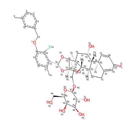 Cc1cccc(COc2ccc(C)c([C@H]3O[C@@H]4C[C@H]5[C@@H]6CCC7=CC(=O)C=C[C@]7(C)[C@H]6[C@@H](O)C[C@]5(C)[C@]4(C(=O)CO[C@@H]4O[C@H](CO)[C@H](O)[C@H](O)[C@H]4O)O3)c2F)c1